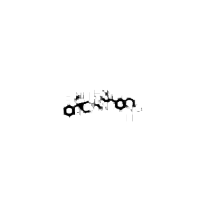 NC[C@]1(c2ccccc2F)[C@@H]2CCN(c3cnc4c(-c5ccc6c(c5)CCC(=O)N6)n[nH]c4n3)C[C@@H]21